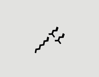 C=CCC(C)C.C=CCC(C)C.C=CCCCCCC